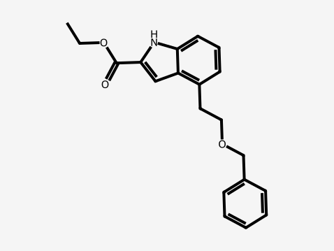 CCOC(=O)c1cc2c(CCOCc3ccccc3)cccc2[nH]1